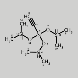 C#C[Si](O[SiH](C)C)(O[SiH](C)C)O[SiH](C)C